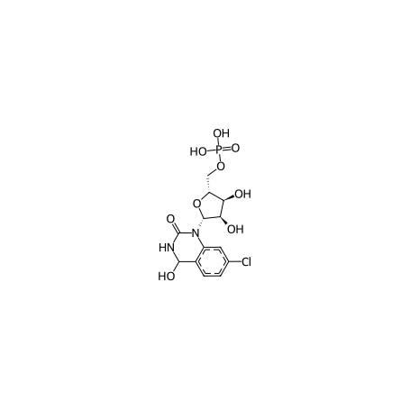 O=C1NC(O)c2ccc(Cl)cc2N1[C@@H]1O[C@H](COP(=O)(O)O)[C@@H](O)[C@H]1O